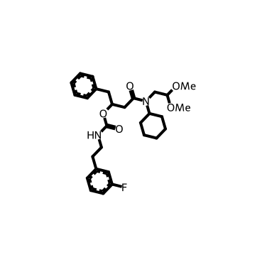 COC(CN(C(=O)CC(Cc1ccccc1)OC(=O)NCCc1cccc(F)c1)C1CCCCC1)OC